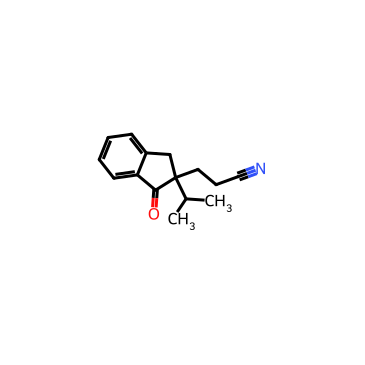 CC(C)C1(CCC#N)Cc2ccccc2C1=O